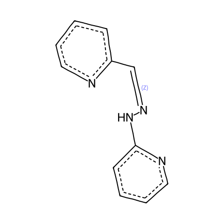 C(=N/Nc1ccccn1)/c1ccccn1